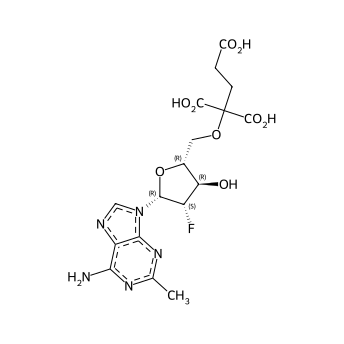 Cc1nc(N)c2ncn([C@@H]3O[C@H](COC(CCC(=O)O)(C(=O)O)C(=O)O)[C@@H](O)[C@@H]3F)c2n1